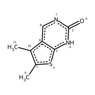 Cc1sc2[nH]c(=O)ncc2c1C